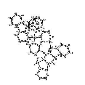 CC1(C)c2ccccc2-c2cc3c4ccccc4n(-c4cccc([Si](c5ccccc5)(c5ccccc5)c5cccc6c7ccccc7n(-c7ccccc7)c56)c4)c3cc21